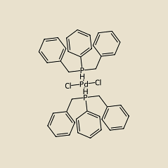 [Cl][Pd]([Cl])([PH](Cc1ccccc1)(Cc1ccccc1)c1ccccc1)[PH](Cc1ccccc1)(Cc1ccccc1)c1ccccc1